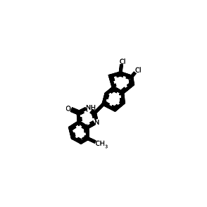 Cc1cccc2c(=O)[nH]c(-c3ccc4cc(Cl)c(Cl)cc4c3)nc12